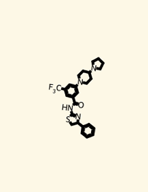 O=C(NC1=NC(c2ccccc2)CS1)c1cc(N2CCC(N3CCCC3)CC2)cc(C(F)(F)F)c1